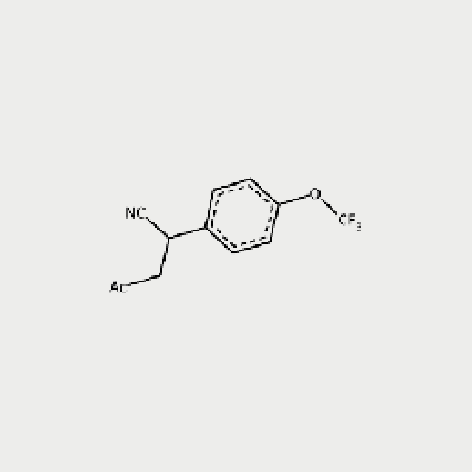 CC(=O)CC(C#N)c1ccc(OC(F)(F)F)cc1